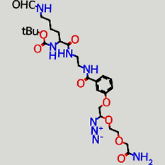 CC(C)(C)OC(=O)NC(CCCCNC=O)C(=O)NCCNC(=O)c1cccc(OCC(N=[N+]=[N-])OCCOCC(N)=O)c1